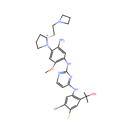 COc1cc(N2CCC[C@@H]2CCN2CCC2)c(N)cc1Nc1nccc(Nc2cc(Cl)c(F)cc2C(C)(C)O)n1